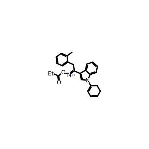 CCC(=O)O/N=C(\Cc1ccccc1C)c1cn(C2=CC=CCC2)c2ccccc12